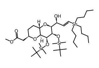 CCC[CH2][Sn](/[CH]=C/[C@H](O)[C@@H]1O[C@H]2CC[C@H](CC(=O)OC)O[C@@H]2[C@H](O[Si](C)(C)C(C)(C)C)[C@@H]1O[Si](C)(C)C(C)(C)C)([CH2]CCC)[CH2]CCC